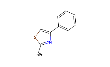 CCCc1nc(-c2ccccc2)cs1